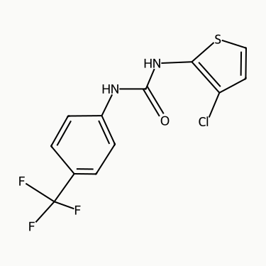 O=C(Nc1ccc(C(F)(F)F)cc1)Nc1sccc1Cl